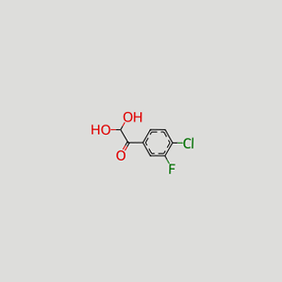 O=C(c1ccc(Cl)c(F)c1)C(O)O